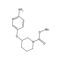 CC(C)(C)OC(=O)N1CCCC(Oc2ccc([N+](=O)[O-])nc2)C1